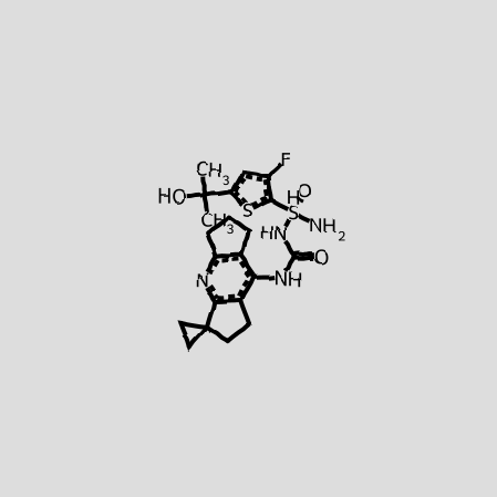 CC(C)(O)c1cc(F)c([SH](N)(=O)NC(=O)Nc2c3c(nc4c2CCC42CC2)CCC3)s1